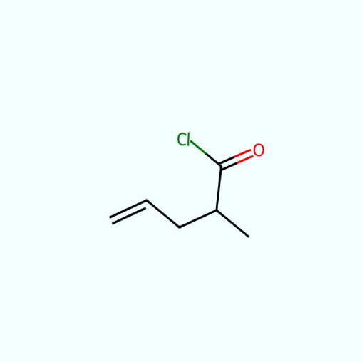 C=CCC(C)C(=O)Cl